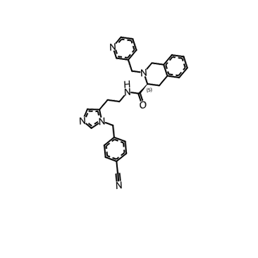 N#Cc1ccc(Cn2cncc2CCNC(=O)[C@@H]2Cc3ccccc3CN2Cc2cccnc2)cc1